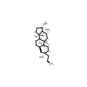 C=CC[C@@]1(O)C=C2CC[C@@H]3[C@H](CC[C@]4(C)[C@@H](O)CC[C@@H]34)[C@H]2CC1